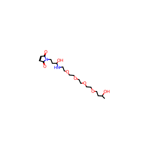 CC(O)CCOCCOCCOCCOCCNC(O)CCN1C(=O)C=CC1=O